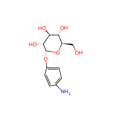 Nc1ccc(O[C@H]2O[C@H](CO)[C@@H](O)[C@H](O)[C@H]2O)cc1